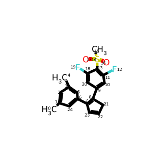 Cc1cc(C)cc(C2=C(c3cc(F)c(S(C)(=O)=O)c(F)c3)CC=C2)c1